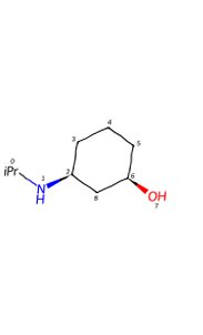 CC(C)N[C@H]1CCC[C@@H](O)C1